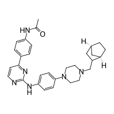 CC(=O)Nc1ccc(-c2ccnc(Nc3ccc(N4CCN(CC5C[C@H]6CC[C@@H]5C6)CC4)cc3)n2)cc1